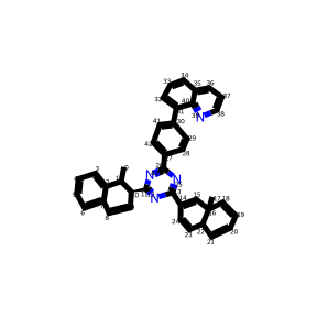 CC1c2ccccc2C=C[C@@H]1c1nc(C2=CC3(C)C=CC=CC3C=C2)nc(-c2ccc(-c3cccc4cccnc34)cc2)n1